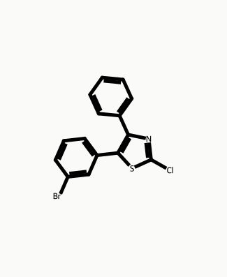 Clc1nc(-c2ccccc2)c(-c2cccc(Br)c2)s1